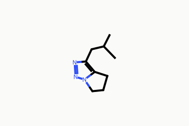 CC(C)Cc1nnn2c1CCC2